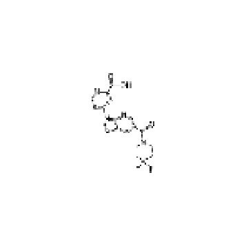 O=C(O)c1cc(-n2ccc3cc(C(=O)N4CCC(F)(F)CC4)cnc32)ccn1